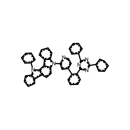 c1ccc(-c2nc(-c3ccccc3)nc(-c3ccccc3-c3ccnc(-n4c5ccccc5c5c4ccc4c6ccccc6n(-c6ccccc6)c45)c3)n2)cc1